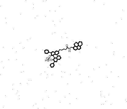 O=C(CCCCc1ccc2c3c(c(-c4ccccc4)cc2c1)OP(=O)(O)Oc1c(-c2ccccc2)cc2ccccc2c1-3)NCc1ccc2ccc3cccc4ccc1c2c34